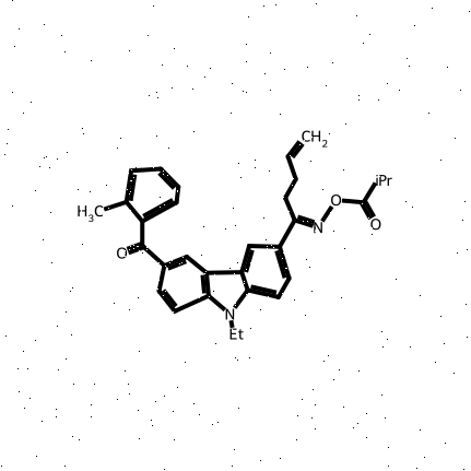 C=CCC/C(=N\OC(=O)C(C)C)c1ccc2c(c1)c1cc(C(=O)c3ccccc3C)ccc1n2CC